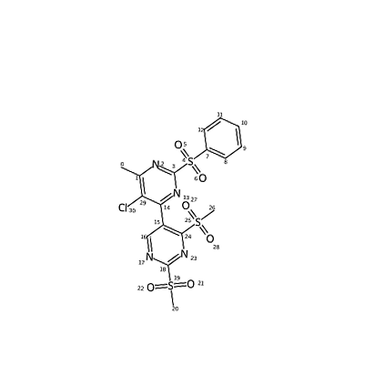 Cc1nc(S(=O)(=O)c2ccccc2)nc(-c2[c]nc(S(C)(=O)=O)nc2S(C)(=O)=O)c1Cl